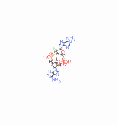 Nc1ncnc2c1ncn2[C@@H]1C[C@@H]2OP(=O)(O)C[C@H]3[C@@H](F)[C@H](n4cnc5c(N)ncnc54)O[C@@H]3COP(=O)(O)O[C@@H]1[C@@H]2O